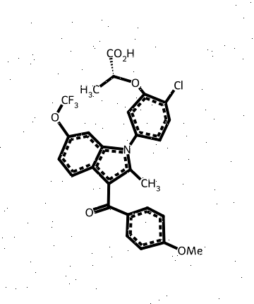 COc1ccc(C(=O)c2c(C)n(-c3ccc(Cl)c(O[C@H](C)C(=O)O)c3)c3cc(OC(F)(F)F)ccc23)cc1